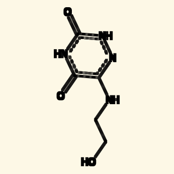 O=c1[nH]nc(NCCO)c(=O)[nH]1